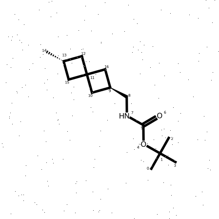 CC(C)(C)OC(=O)NC[C@H]1CC2(C[C@@H](C)C2)C1